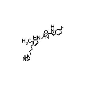 Cc1cc(NCc2coc(-c3cc4ccc(F)cc4[nH]3)n2)ccc1CCCCn1ccnn1